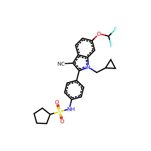 N#Cc1c(-c2ccc(NS(=O)(=O)C3CCCC3)cc2)n(CC2CC2)c2cc(OC(F)F)ccc12